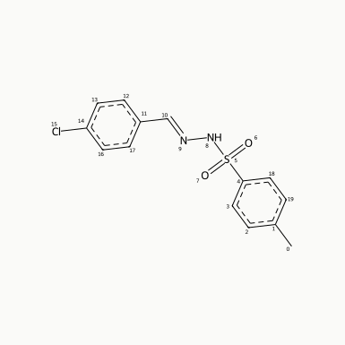 Cc1ccc(S(=O)(=O)NN=Cc2ccc(Cl)cc2)cc1